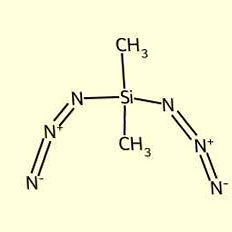 C[Si](C)(N=[N+]=[N-])N=[N+]=[N-]